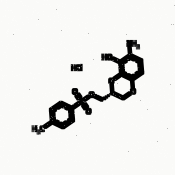 Cc1ccc(S(=O)(=O)OC[C@H]2COc3ccc(N)c(O)c3O2)cc1.Cl